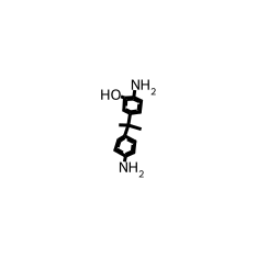 CC(C)(c1ccc(N)cc1)c1ccc(N)c(O)c1